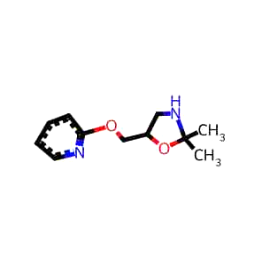 CC1(C)NCC(COc2ccccn2)O1